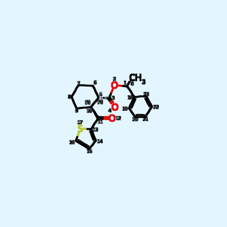 CC(OC(=O)[C@H]1CCCC[C@@H]1C(=O)c1cccs1)c1ccccc1